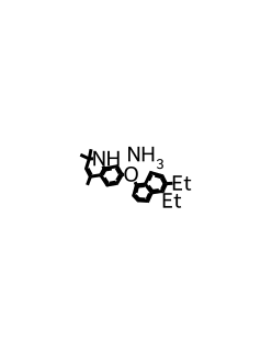 CCc1ccc2c(Oc3ccc4c(c3)NC(C)(C)C=C4C)cccc2c1CC.N